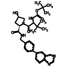 CC(C)(C)OC(=O)N[C@H](C(=O)N1C[C@H](O)C[C@H]1C(=O)NCc1ccc(-c2ccc3ncncc3c2)cc1)C(C)(C)C